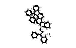 NC1C=CC=C/C1=C(/N=C/n1c2ccccc2c2c3ccc4c(c3ccc21)C(c1ccccc1)(c1ccccc1)c1ccccc1-4)c1ccccc1